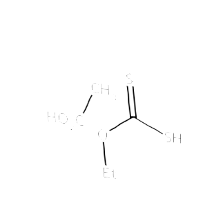 CC(=O)O.CCOC(=S)S